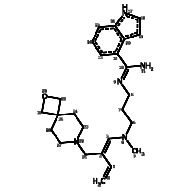 C=C/C(=C\N(C)CCC/N=C(\N)c1cccc2[nH]ccc12)CN1CCC2(CC1)COC2